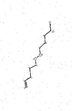 C=CCCCOOCCCCC